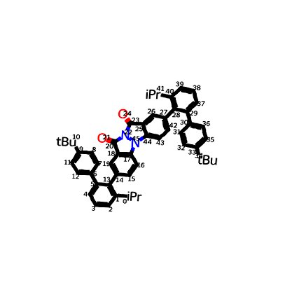 CC(C)c1cccc(-c2ccc(C(C)(C)C)cc2)c1-c1ccc2c(c1)c(=O)n1c(=O)c3cc(-c4c(-c5ccc(C(C)(C)C)cc5)cccc4C(C)C)ccc3n21